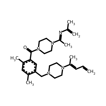 C=C/C=C(\C)N1CCN(Cc2cc(C(=O)N3CCN(/C(C)=N/C(=C)C)CC3)c(C)cc2C)CC1